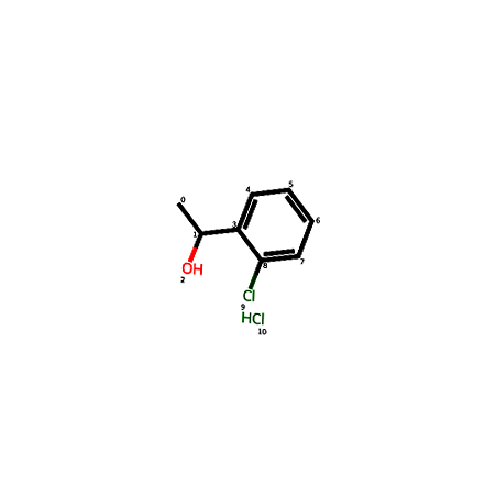 CC(O)c1ccccc1Cl.Cl